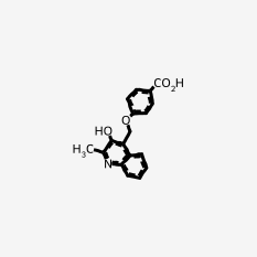 Cc1nc2ccccc2c(COc2ccc(C(=O)O)cc2)c1O